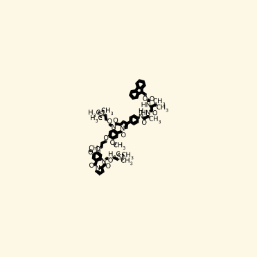 COc1cc2c(cc1OCCCOc1cc3c(cc1OC)C(=O)N1C=C(c4ccc(NC(=O)[C@H](C)NC(=O)[C@@H](NC(=O)OCC5c6ccccc6-c6ccccc65)C(C)C)cc4)CC1C(=O)N3COCC[Si](C)(C)C)N(COCC[Si](C)(C)C)C(=O)C1C[C]=CN1C2=O